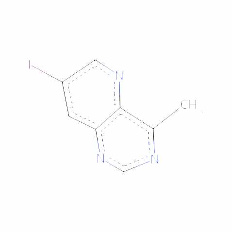 Cc1ncnc2cc(I)cnc12